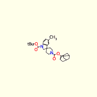 Cc1ccc2c(c1)C1(CCN(C(=O)OC3C4CC5CC(C4)CC3C5)CC1)CN2C(=O)OC(C)(C)C